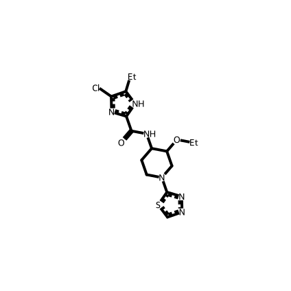 CCOC1CN(c2nncs2)CCC1NC(=O)c1nc(Cl)c(CC)[nH]1